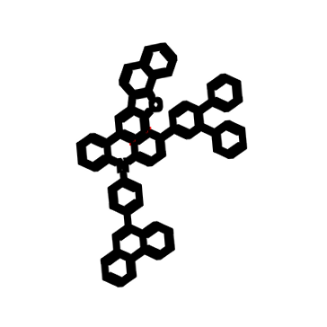 c1ccc(-c2ccc(-c3ccc(N(c4ccc(-c5cc6ccccc6c6ccccc56)cc4)c4ccccc4-c4ccc5oc6c7ccccc7ccc6c5c4)cc3)cc2-c2ccccc2)cc1